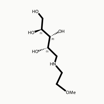 COCCNC[C@H](O)[C@@H](O)[C@@H](O)CO